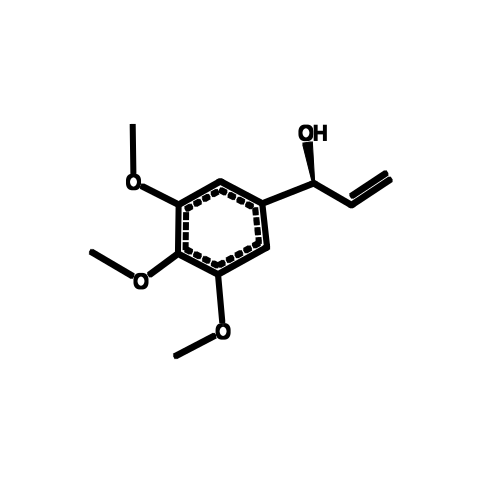 C=C[C@H](O)c1cc(OC)c(OC)c(OC)c1